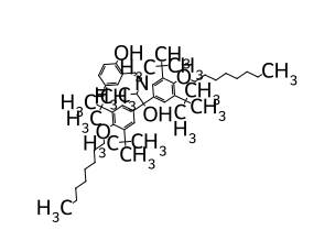 CCCCCCCCOc1c(C(C)(C)C)cc(C(O)(c2cc(C(C)(C)C)c(OCCCCCCCC)c(C(C)(C)C)c2)C(C)N=Cc2cc(F)ccc2O)cc1C(C)(C)C